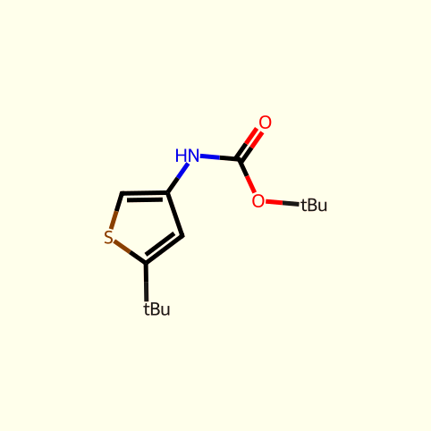 CC(C)(C)OC(=O)Nc1csc(C(C)(C)C)c1